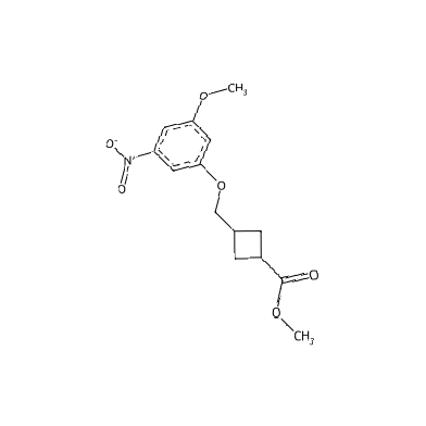 COC(=O)C1CC(COc2cc(OC)cc([N+](=O)[O-])c2)C1